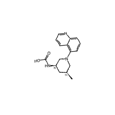 C[C@H]1C[C@@H](NC(=O)O)CN(c2cccc3ncccc23)C1